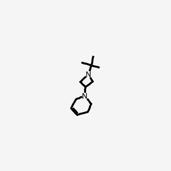 CC(C)(C)N1CC(N2CC=CCC2)C1